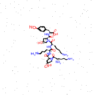 NCCCC[C@H](NC(=O)[C@@H]1C[C@@H](O)CN1C(=O)[C@@H](N)CCCCN)C(=O)N[C@@H](CCCCN)C(=O)N1C[C@H](O)C[C@H]1C(=O)N[C@@H](Cc1ccc(O)cc1)C(=O)O